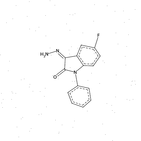 N/N=C1\C(=O)N(c2ccccc2)c2ccc(F)cc21